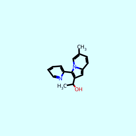 Cc1ccc2cc(C(C)O)c(-c3ccccn3)n2c1